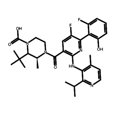 Cc1ccnc(C(C)C)c1Nc1nc(-c2c(O)cccc2F)c(F)cc1C(=O)N1CCN(C(=O)O)C(C(C)(C)C)[C@@H]1C